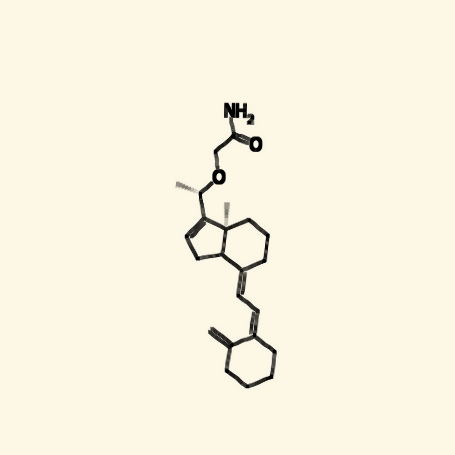 C=C1CCCC/C1=C/C=C1\CCC[C@]2(C)C([C@H](C)OCC(N)=O)=CCC12